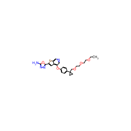 CCOCCOCCOCC1(c2ccc(Oc3cncc4sc(-c5nnc(N)o5)cc34)cc2)CC1